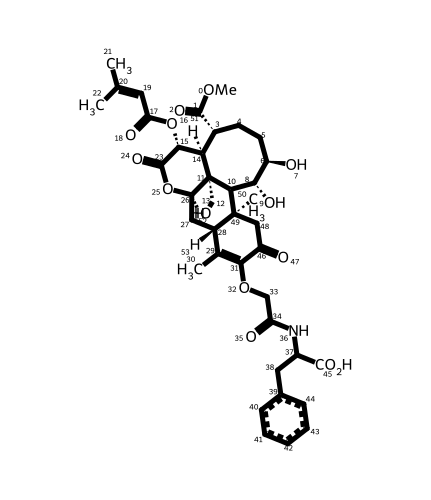 COC(=O)[C@@H]1CC[C@@H](O)[C@H](O)C2[C@]3(CO)[C@H]1[C@@H](OC(=O)C=C(C)C)C(=O)O[C@@H]3C[C@H]1C(C)=C(OCC(=O)NC(Cc3ccccc3)C(=O)O)C(=O)C[C@]21C